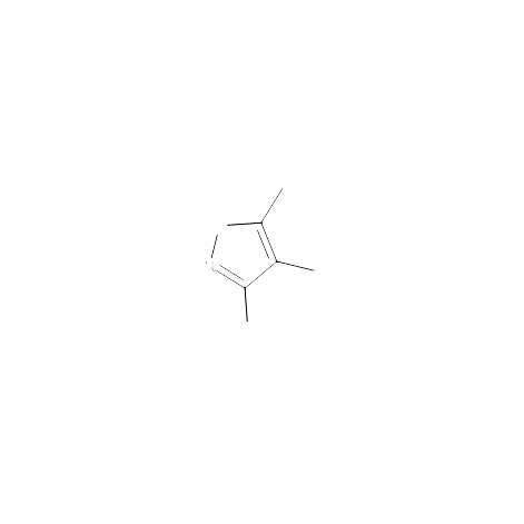 Cc1onc(C(C)C)c1I